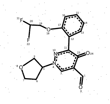 O=Cc1cn(C2CCOC2)nc(-c2ccccc2OCC(F)F)c1=O